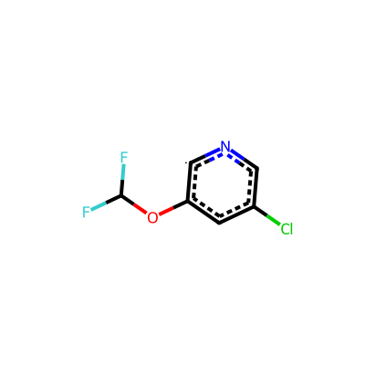 FC(F)Oc1[c]ncc(Cl)c1